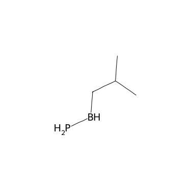 CC(C)CBP